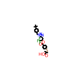 CC(C)(Sc1ccc(C(=O)OC(Cc2cn(Cc3ccc(C(C)(C)C)cc3)nn2)C(F)(F)F)cc1)C(=O)O